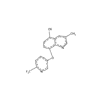 Cc1cnc2c(Oc3ccc(C(F)(F)F)nc3)ccc(C#N)c2c1